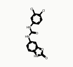 O=C(Nc1ccc(Cl)c(Cl)c1)Nc1ccc2[nH]c(=O)oc2c1